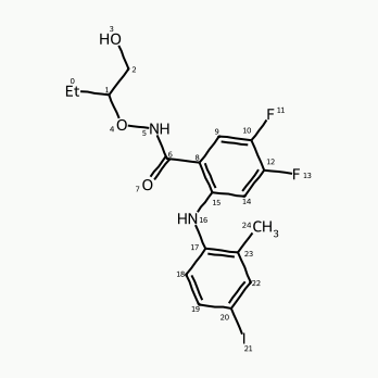 CCC(CO)ONC(=O)c1cc(F)c(F)cc1Nc1ccc(I)cc1C